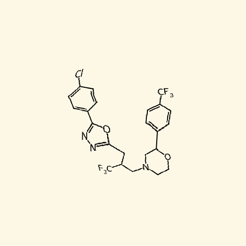 FC(F)(F)c1ccc(C2CN(CC(Cc3nnc(-c4ccc(Cl)cc4)o3)C(F)(F)F)CCO2)cc1